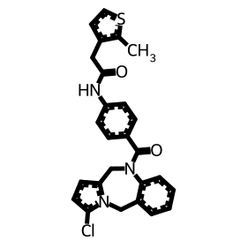 Cc1sccc1CC(=O)Nc1ccc(C(=O)N2Cc3ccc(Cl)n3Cc3ccccc32)cc1